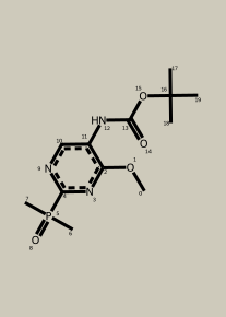 COc1nc(P(C)(C)=O)ncc1NC(=O)OC(C)(C)C